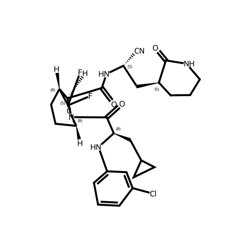 N#C[C@H](C[C@@H]1CCCNC1=O)NC(=O)[C@@H]1[C@H]2CC[C@H](CC2(F)F)N1C(=O)[C@@H](CC1CC1)Nc1cccc(Cl)c1